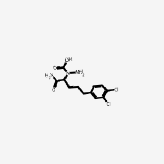 NC(=O)C(CCCc1ccc(Cl)c(Cl)c1)N(N)C(=O)O